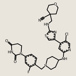 N#CC1(CNc2nc(-c3cc(NC4CCN(Cc5ccc(N6CCC(=O)NC6=O)cc5F)CC4)ncc3Cl)cs2)CCOCC1